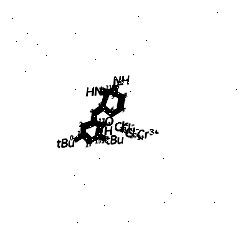 CC(C)(C)c1cc(C=C2CC=CC(=N)C2=N)c(O)c(C(C)(C)C)c1.[Cl-].[Cl-].[Cl-].[Cr+3]